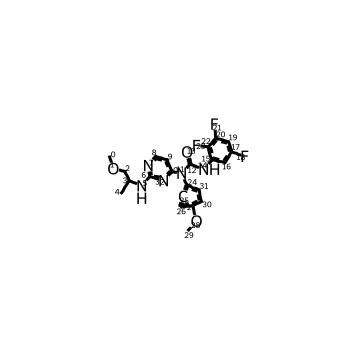 COCC(C)Nc1nccc(N(C(=O)Nc2cc(F)cc(F)c2F)c2ccc(OC)cc2)n1